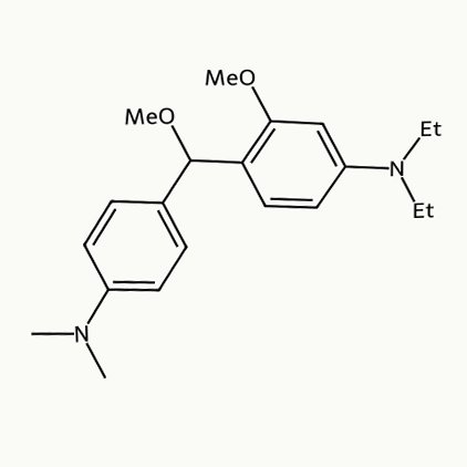 CCN(CC)c1ccc(C(OC)c2ccc(N(C)C)cc2)c(OC)c1